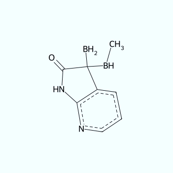 BC1(BC)C(=O)Nc2ncccc21